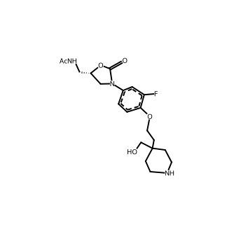 CC(=O)NC[C@H]1CN(c2ccc(OCCC3(CO)CCNCC3)c(F)c2)C(=O)O1